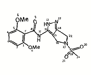 COc1cccc(OC)c1C(=O)Nc1[nH]nc2c1CN(S(C)(=O)=O)C2